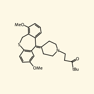 COc1ccc2c(c1)C(=C1CCN(CCC(=O)C(C)(C)C)CC1)c1cccc(OC)c1CS2